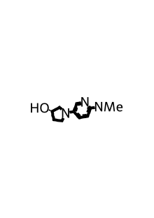 CNc1ccc(N2CC[C@H](O)C2)cn1